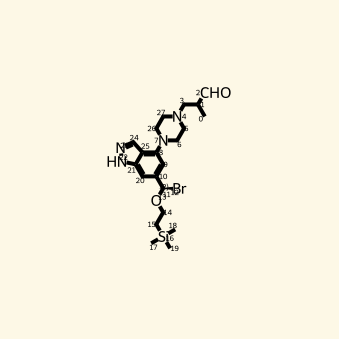 CC(C=O)CN1CCN(c2cc([C@@H](Br)OCC[Si](C)(C)C)cc3[nH]ncc23)CC1